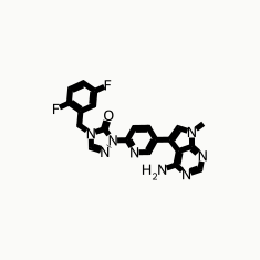 Cn1cc(-c2ccc(-n3ncn(Cc4cc(F)ccc4F)c3=O)nc2)c2c(N)ncnc21